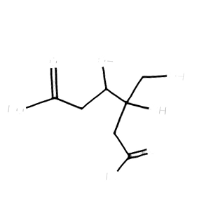 O=C(O)CC(O)C(O)(CO)CC(=O)O